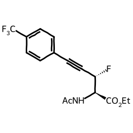 CCOC(=O)[C@@H](NC(C)=O)[C@@H](F)C#Cc1ccc(C(F)(F)F)cc1